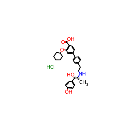 C[C@H](NCCc1ccc(-c2ccc(C(=O)O)c(OC3CCCCC3)c2)cc1)[C@@H](O)c1ccc(O)cc1.Cl